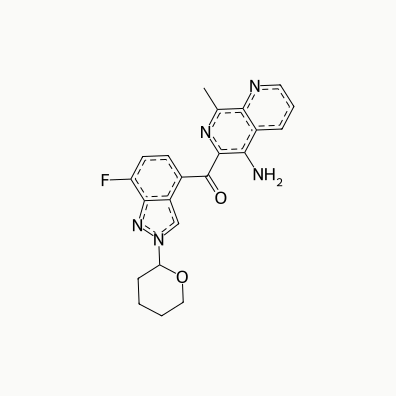 Cc1nc(C(=O)c2ccc(F)c3nn(C4CCCCO4)cc23)c(N)c2cccnc12